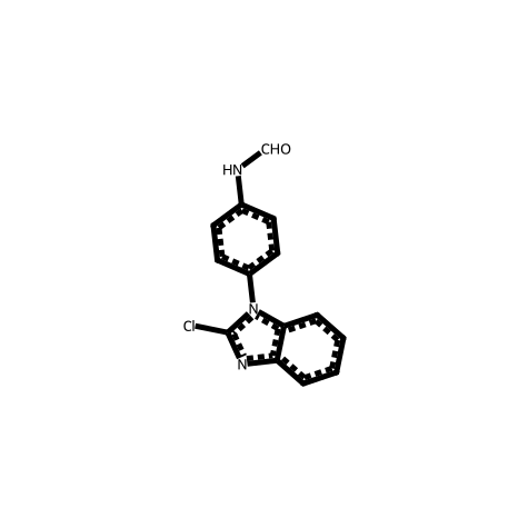 O=CNc1ccc(-n2c(Cl)nc3ccccc32)cc1